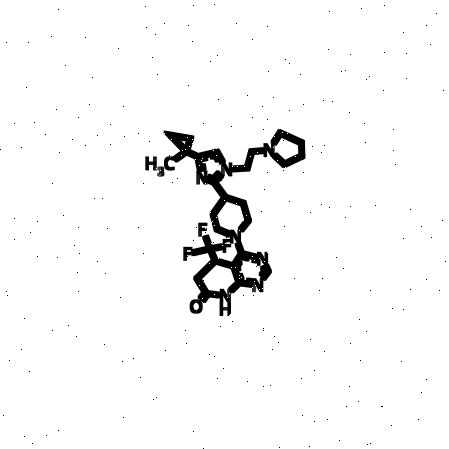 CC1(c2cn(CCN3CCCC3)c(C3CCN(c4ncnc5c4C(C(F)(F)F)CC(=O)N5)CC3)n2)CC1